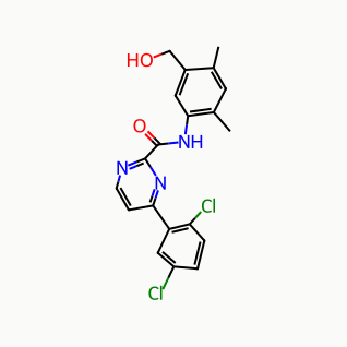 Cc1cc(C)c(NC(=O)c2nccc(-c3cc(Cl)ccc3Cl)n2)cc1CO